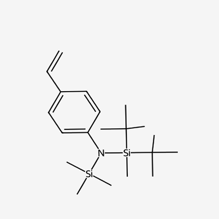 C=Cc1ccc(N([Si](C)(C)C)[Si](C)(C(C)(C)C)C(C)(C)C)cc1